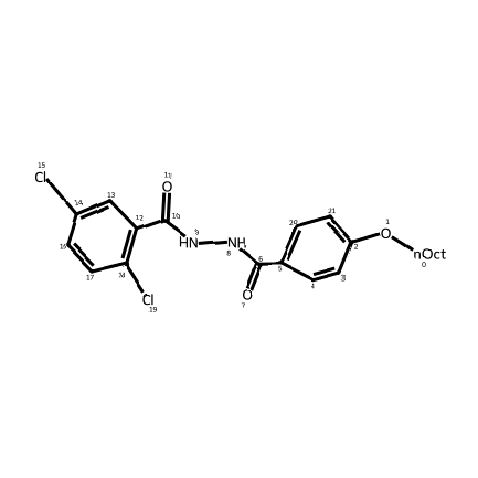 CCCCCCCCOc1ccc(C(=O)NNC(=O)c2cc(Cl)ccc2Cl)cc1